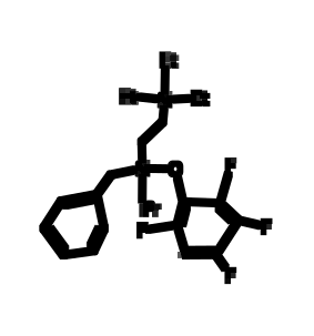 CC[Si](CC)(CC)CC[Si](Cc1ccccc1)(Oc1c(F)[c]c(F)c(F)c1F)C(C)C